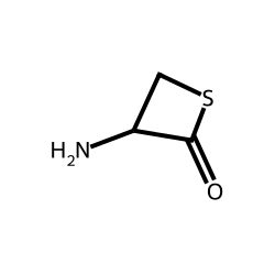 NC1CSC1=O